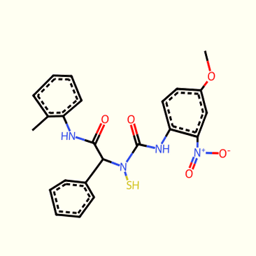 COc1ccc(NC(=O)N(S)C(C(=O)Nc2ccccc2C)c2ccccc2)c([N+](=O)[O-])c1